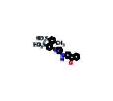 Cc1ccc(S(=O)(=O)O)cc1.Cc1ccc(S(=O)(=O)O)cc1.O=C1c2ccccc2-c2ccc(NC3CN4CCC3CC4)cc21